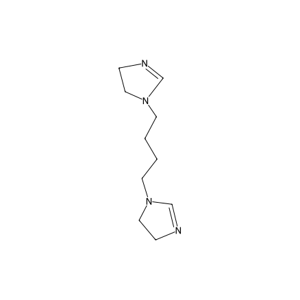 C1=NCCN1CCCCN1C=NCC1